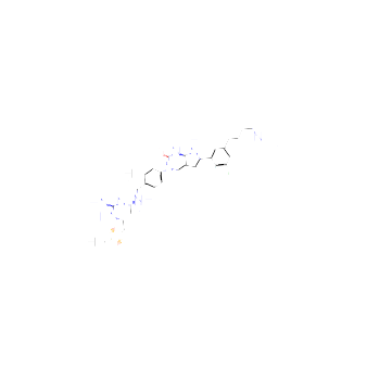 C[C@H](N)CCCc1cc(Cl)c(F)c(-c2cc3cn(-c4ccc([C@H](C)NCC[C@H](CS(C)(=O)=O)NC(=N)N)cc4)c(=O)nc3[nH]2)c1